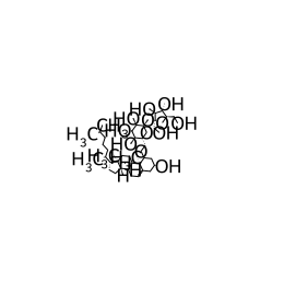 CC(C)CCC[C@@H](C)[C@H]1CC[C@H]2[C@@H]3CC=C4C[C@@H](O)CC(OC[C@H]5O[C@H](O[C@]6(CO)O[C@H](CO)[C@@H](O)[C@@H]6O)[C@H](O)[C@@H](O)[C@@H]5O)[C@]4(C)[C@H]3CC[C@]12C